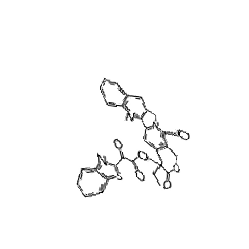 CCC1(OC(=O)C(=O)c2nc3ccccc3s2)C(=O)OCc2c1cc1n(c2=O)Cc2cc3ccccc3nc2-1